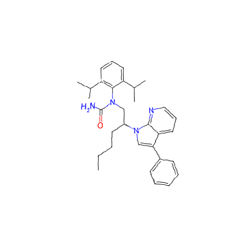 CCCCC(CN(C(N)=O)c1c(C(C)C)cccc1C(C)C)n1cc(-c2ccccc2)c2cccnc21